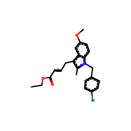 CCOC(=O)/C=C/Cc1c(C)n(Cc2ccc(Br)cc2)c2ccc(OC)cc12